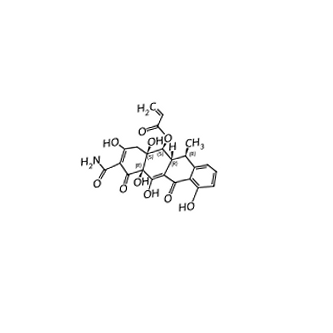 C=CC(=O)O[C@H]1[C@H]2C(=C(O)[C@]3(O)C(=O)C(C(N)=O)=C(O)C[C@]13O)C(=O)c1c(O)cccc1[C@@H]2C